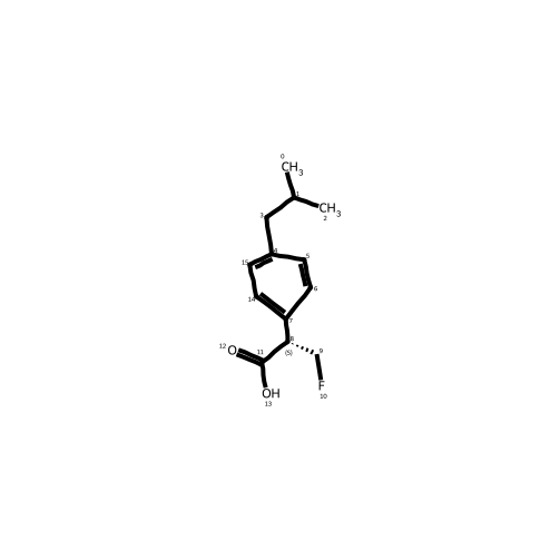 CC(C)Cc1ccc([C@H](CF)C(=O)O)cc1